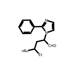 CCCCC(CC)CC(C=O)n1ccnc1-c1ccccc1